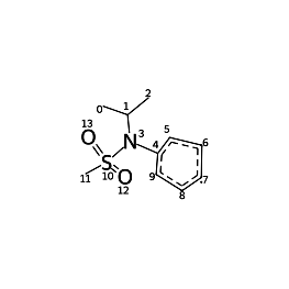 CC(C)N(c1cc[c]cc1)S(C)(=O)=O